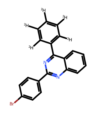 [2H]c1c([2H])c([2H])c(-c2nc(-c3ccc(Br)cc3)nc3ccccc23)c([2H])c1[2H]